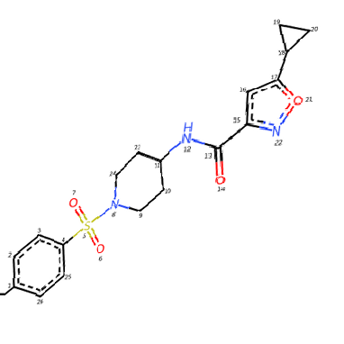 Cc1ccc(S(=O)(=O)N2CCC(NC(=O)c3cc(C4CC4)on3)CC2)cc1